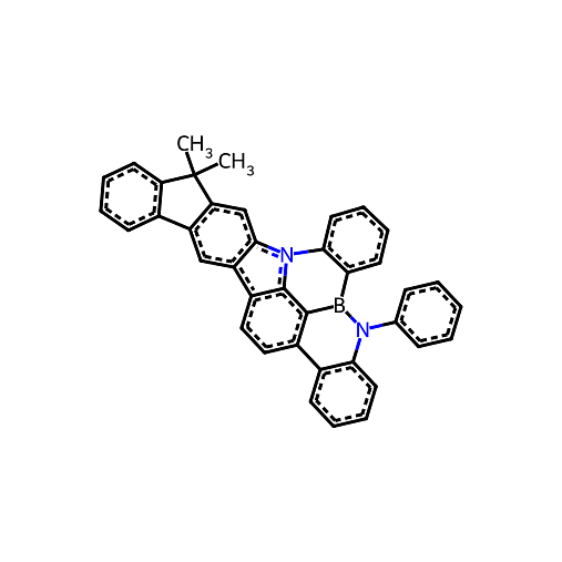 CC1(C)c2ccccc2-c2cc3c4ccc5c6c4n(c3cc21)-c1ccccc1B6N(c1ccccc1)c1ccccc1-5